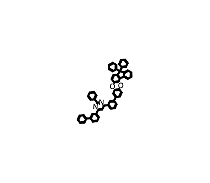 c1ccc(-c2cccc(-c3cc(-c4cccc(-c5ccc6c(c5)Oc5ccc7c(c5O6)-c5ccccc5C7(c5ccccc5)c5ccccc5)c4)nc(-c4ccccc4)n3)c2)cc1